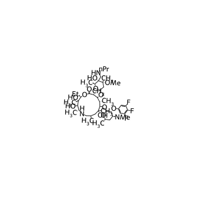 CCCNC[C@]1(O)[C@H](C)O[C@@H](O[C@H]2[C@H](C)[C@@H](O[C@@H]3O[C@H](C)C[C@H](NC)[C@H]3Oc3cc(F)c(F)c(F)c3)[C@](C)(O)C[C@@H](C)CN[C@H](C)[C@@H](O)[C@](C)(O)[C@@H](CC)OC(=O)[C@@H]2C)C[C@@]1(C)OC